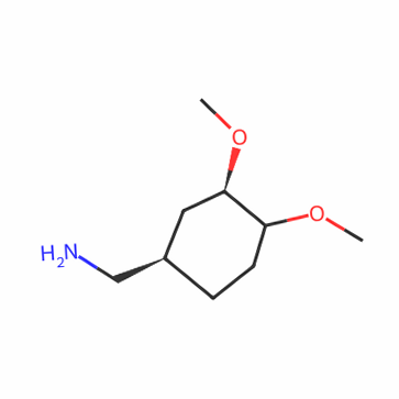 COC1CC[C@@H](CN)C[C@H]1OC